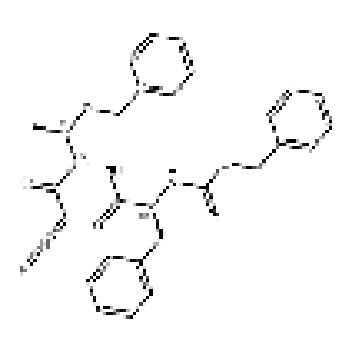 C[C@@H](OCc1ccccc1)[C@H](NC(=O)[C@H](Cc1ccccc1)NC(=O)OCc1ccccc1)C(=O)C=[N+]=[N-]